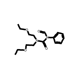 CCOCCN(CCOCC)C(=O)N(C=O)c1ccccc1